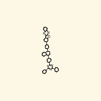 c1ccc(-c2nc(-c3ccccc3)nc(-c3ccc(-c4ccc(-c5ccc(-c6ccc7c(c6)oc6nc8ccccc8nc67)cc5)c5ccccc45)cc3)n2)cc1